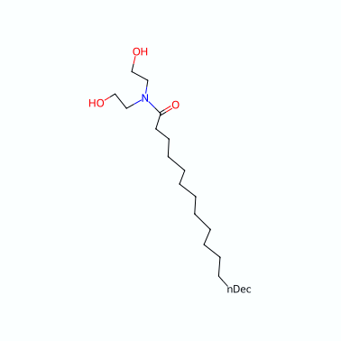 CCCCCCCCCCCCCCCCCCCCCC(=O)N(CCO)CCO